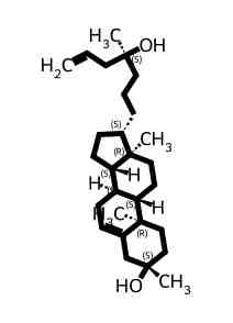 C=CC[C@@](C)(O)CCC[C@H]1CC[C@H]2[C@@H]3CC=C4C[C@@](C)(O)CC[C@]4(C)[C@H]3CC[C@]12C